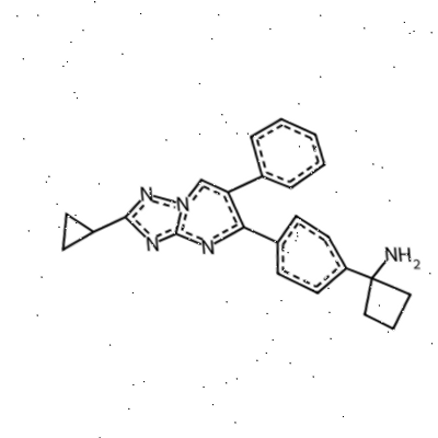 NC1(c2ccc(-c3nc4nc(C5CC5)nn4cc3-c3ccccc3)cc2)CCC1